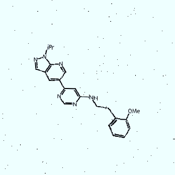 COc1ccccc1CCNc1cc(-c2cnc3c(cnn3C(C)C)c2)ncn1